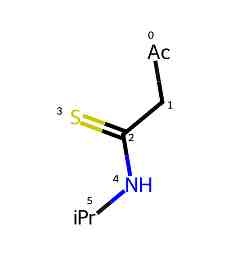 CC(=O)CC(=S)NC(C)C